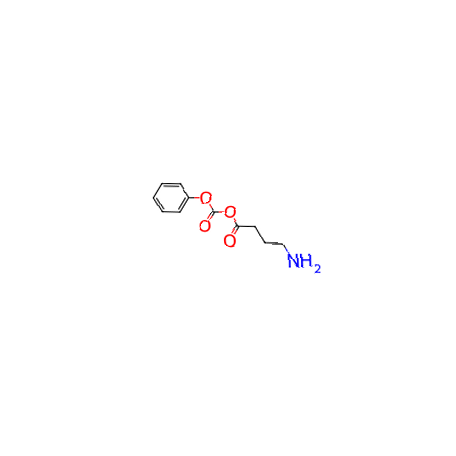 NCCCC(=O)OC(=O)Oc1ccccc1